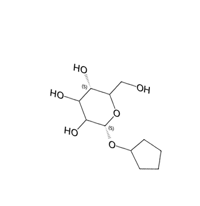 OCC1O[C@H](OC2CCCC2)C(O)C(O)[C@@H]1O